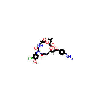 COc1ccc(C[C@H]2NC(=O)/C=C/C[C@@H]([C@H](C)[C@H]3O[C@@H]3c3ccc(CN)cc3)OC(=O)[C@H](CC(C)C)OC(=O)C(C)(C)CNC2=O)cc1Cl